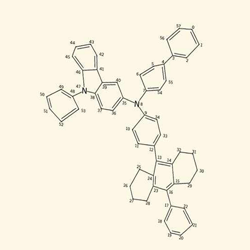 c1ccc(-c2ccc(N(c3ccc(-c4c5c(c(-c6ccccc6)c6c4CCCC6)CCCC5)cc3)c3ccc4c(c3)c3ccccc3n4-c3ccccc3)cc2)cc1